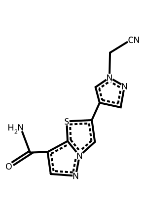 N#CCn1cc(-c2cn3ncc(C(N)=O)c3s2)cn1